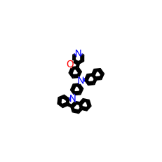 c1ccc2cc(N(c3ccc(-n4c5ccccc5c5ccc6ccccc6c54)cc3)c3ccc4oc5cnccc5c4c3)ccc2c1